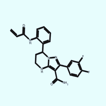 C=CC(=O)Nc1ccccc1C1CCNc2c(C(N)=O)c(-c3ccc(F)c(F)c3)nn21